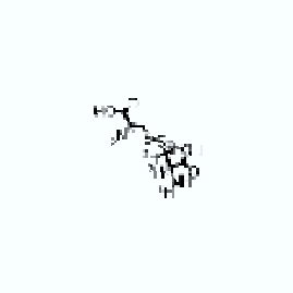 [2H]N[C@]([2H])(C(=O)O)C([2H])([2H])SSC[C@H](N)C(=O)O